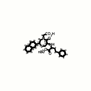 CCCCOC(=O)C(CCc1ccccc1)NC1CSC(c2ccc3ccccc3c2)CN(CC(=O)O)C1=O